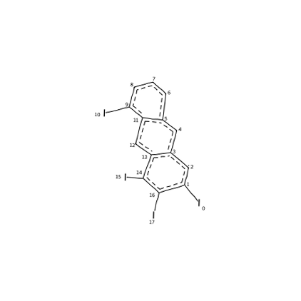 Ic1[c]c2cc3cccc(I)c3cc2c(I)c1I